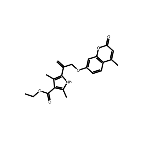 C=C(COc1ccc2c(C)cc(=O)oc2c1)c1[nH]c(C)c(C(=O)OCC)c1C